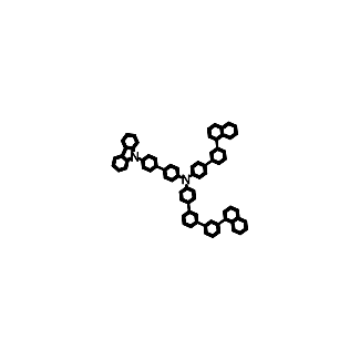 c1cc(-c2ccc(N(c3ccc(-c4ccc(-n5c6ccccc6c6ccccc65)cc4)cc3)c3ccc(-c4cccc(-c5cccc6ccccc56)c4)cc3)cc2)cc(-c2cccc(-c3cccc4ccccc34)c2)c1